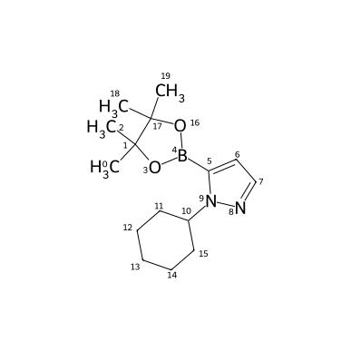 CC1(C)OB(c2ccnn2C2CCCCC2)OC1(C)C